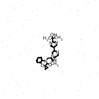 Cc1nc2cnc(-c3cnc(C(C)(C)O)nc3)cn2c1CN1C(=O)C2(CC2)Oc2ccccc21